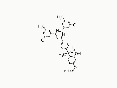 CCCCCCOc1ccc(C(C)(C)c2ccc(-c3nc(-c4cc(C)cc(C)c4)nc(-c4cc(C)cc(C)c4)n3)cc2)c(O)c1